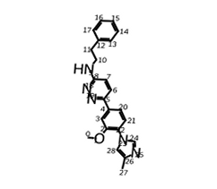 COc1cc(-c2ccc(NCCc3ccccc3)nn2)ccc1-n1cnc(C)c1